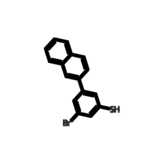 Sc1cc(Br)cc(-c2ccc3ccccc3c2)c1